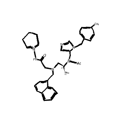 CC[C@H](C)[C@@H](CN(CC(=O)NN1CCCCC1)Cc1cccc2ccccc12)N(C(C)=O)c1cncn1Cc1ccc(C#N)cc1